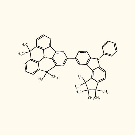 CC1(C)c2cccc3c2-n2c4c1cccc4c1cc(-c4ccc5c(c4)c4c6c(ccc4n5-c4ccccc4)C(C)(C)C(C)(C)C6(C)C)cc(c12)C3(C)C